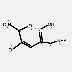 CCC(=CC(CNC(C)=O)=NO)C(CC)[N+](=O)[O-]